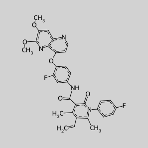 C=Cc1c(C)c(C(=O)Nc2ccc(Oc3ccnc4cc(OC)c(OC)nc34)c(F)c2)c(=O)n(-c2ccc(F)cc2)c1C